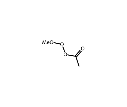 COOOC(C)=O